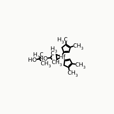 CC(C)O.CC(C)O.CC1=C(C)C[C]([Hf]2([C]3=CC(C)=C(C)C3)[CH2][CH2]2)=C1